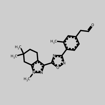 Cc1cc(CC=O)ccc1-c1noc(-c2nn(C)c3c2CCC(C)(C)C3)n1